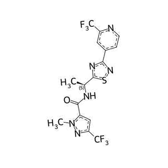 C[C@H](NC(=O)c1cc(C(F)(F)F)nn1C)c1nc(-c2ccnc(C(F)(F)F)c2)ns1